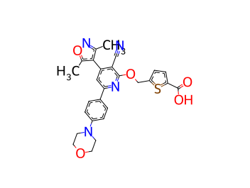 Cc1noc(C)c1-c1cc(-c2ccc(N3CCOCC3)cc2)nc(OCc2ccc(C(=O)O)s2)c1C#N